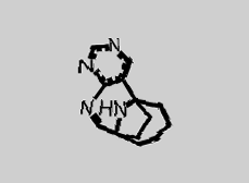 C1=Nc2ncncc2C23CCCCC1(CC2)N3